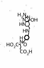 Nc1nc(O)c2c(n1)NCC(CNCc1ccc(C(=O)NC(CCC(=O)O)C(=O)O)cc1)C2